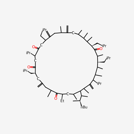 C=C1CC(C)C(=O)C(CC)CC(C)C(C(C)[C@H](C)CCCC)C(C)C(=C)C(C(C)C)C(C)C(C)[C@H](CC(C)C)C(C)C(=O)[C@H](CC(C)C)C(C)C(C)C(C)CC(=C)C(C)CC(=C)C(CC(C)C)CC(=O)C(C(C)C)CC(=O)[C@H](CC(C)C)C1